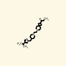 CCC(=O)C1CC2(CCN(CCN3CCC(Cn4cc(C(C)C)cn4)CC3)CC2)C1